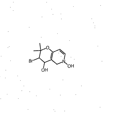 CC1(C)OC2=C(CN(O)C=C2)C(O)C1Br